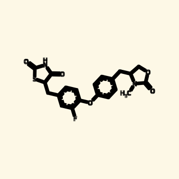 CN1C(=O)OCC1Cc1ccc(Oc2ccc(CC3SC(=O)NC3=O)cc2F)cc1